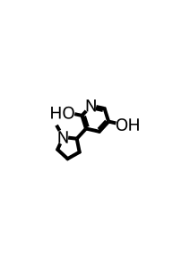 CN1CCCC1c1cc(O)cnc1O